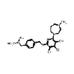 CCc1c(C#N)c(SCc2ccc(CN(C(=O)O)C(C)(C)C)cc2)nc(N2CCCN(C)CC2)c1C#N